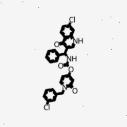 O=C(NC(c1ccccc1)c1c[nH]c2cc(Cl)ccc2c1=O)Oc1ccn(Cc2cccc(Cl)c2)c(=O)c1